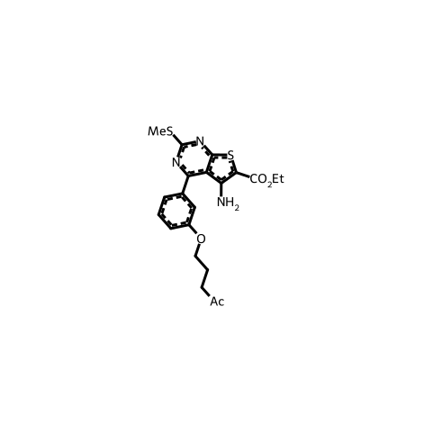 CCOC(=O)c1sc2nc(SC)nc(-c3cccc(OCCCC(C)=O)c3)c2c1N